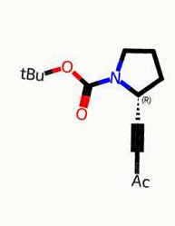 CC(=O)C#C[C@H]1CCCN1C(=O)OC(C)(C)C